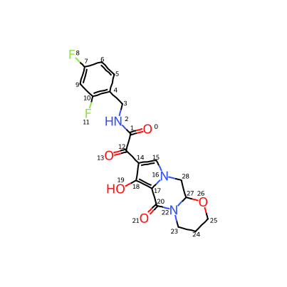 O=C(NCc1ccc(F)cc1F)C(=O)c1cn2c(c1O)C(=O)N1CCCOC1C2